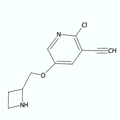 C#Cc1cc(OCC2CCN2)cnc1Cl